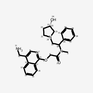 CN(C(=O)COc1ncc(CN)c2ccccc12)C(CN1CC[C@H](O)C1)c1ccccc1